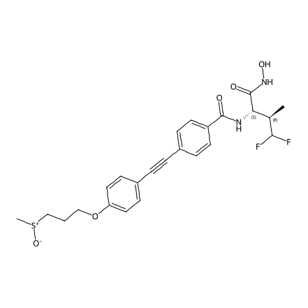 C[C@@H](C(F)F)[C@H](NC(=O)c1ccc(C#Cc2ccc(OCCC[S+](C)[O-])cc2)cc1)C(=O)NO